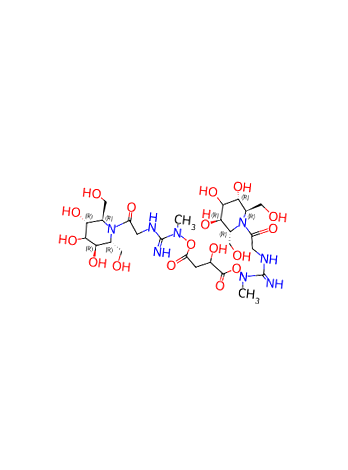 CN(OC(=O)CC(O)C(=O)ON(C)C(=N)NCC(=O)N1[C@H](CO)[C@@H](O)C(O)[C@H](O)[C@H]1CO)C(=N)NCC(=O)N1[C@H](CO)[C@@H](O)C(O)[C@H](O)[C@H]1CO